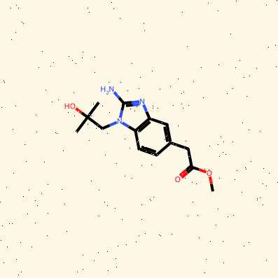 COC(=O)Cc1ccc2c(c1)nc(N)n2CC(C)(C)O